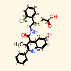 Cc1c(-c2ccccc2)nc2ccc(Br)cc2c1C(=O)NCC(SCC(=O)O)c1ccccc1Cl